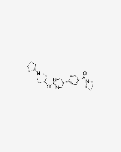 O=C(c1ccc(-c2cnc(OC3CCN(C4CCCC4)CC3)nc2)cc1)N1CCCC1